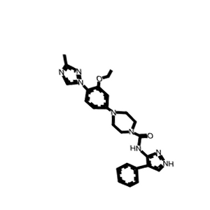 CCOc1cc(N2CCN(C(=O)Nc3n[nH]cc3-c3ccccc3)CC2)ccc1-n1cnc(C)n1